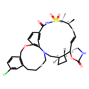 C[C@@H]1[C@@H](C)C/C=C/[C@]2(CNC(=O)O2)[C@@H]2CC[C@H]2CN2CCCCc3cc(Cl)ccc3COc3ccc(cc32)C(=O)NS1(=O)=O